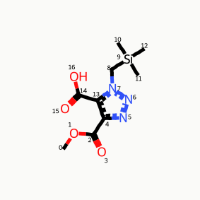 COC(=O)c1nnn(C[Si](C)(C)C)c1C(=O)O